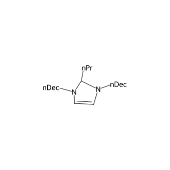 CCCCCCCCCCN1C=CN(CCCCCCCCCC)C1CCC